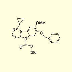 COc1cc2c3c(C4CC4)nccc3n(C(=O)OC(C)(C)C)c2cc1OCc1ccccc1